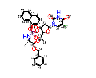 C[C@H](N[P@@](=O)(Oc1cccc2ccccc12)O[C@H](C)[C@H]1O[C@@H](n2cc(F)c(=O)[nH]c2=O)C[C@@H]1O)C(=O)OCc1ccccc1